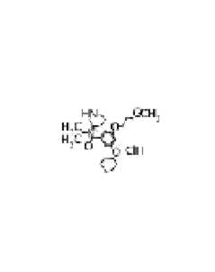 COCCCOc1cc(OC2CCCCC2)cc(C(=O)N(C(C)C)[C@@H]2CCCNC2)c1.Cl